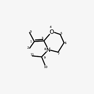 CC(C)=C1OCCCN1C(C)C